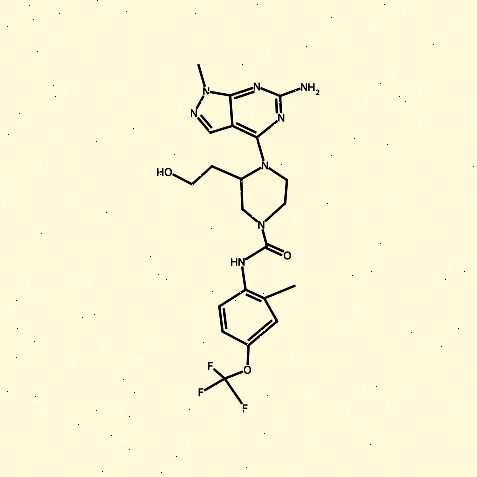 Cc1cc(OC(F)(F)F)ccc1NC(=O)N1CCN(c2nc(N)nc3c2cnn3C)C(CCO)C1